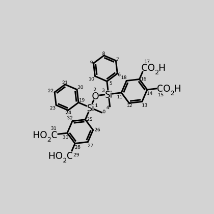 C[Si](O[Si](C)(c1ccccc1)c1ccc(C(=O)O)c(C(=O)O)c1)(c1ccccc1)c1ccc(C(=O)O)c(C(=O)O)c1